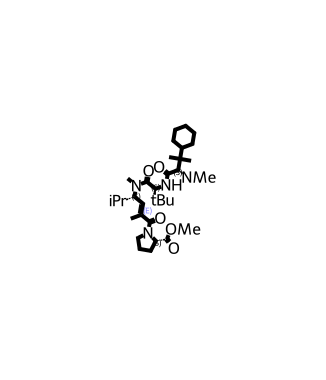 CN[C@H](C(=O)N[C@H](C(=O)N(C)[C@H](/C=C(\C)C(=O)N1CCC[C@H]1C(=O)OC)C(C)C)C(C)(C)C)C(C)(C)C1CCCCC1